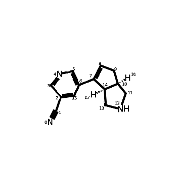 N#Cc1cncc(C2=CC[C@H]3CNC[C@@H]23)c1